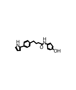 O=C(CCCc1ccc(-c2ccc[nH]2)cc1)Nc1ccc(O)cc1